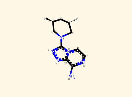 C[C@H]1C[C@H](C)CN(c2nnc3c(N)nccn23)C1